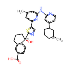 Cc1cc(Nc2cc(C3CCC[C@H](C)C3)ccn2)nc(-c2cnc([C@@]3(O)CCCc4cc(C(=O)O)ccc43)s2)c1